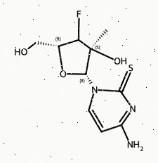 C[C@@]1(O)C(F)[C@@H](CO)O[C@H]1n1ccc(N)nc1=S